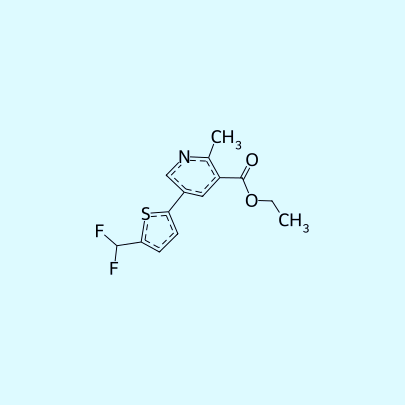 CCOC(=O)c1cc(-c2ccc(C(F)F)s2)cnc1C